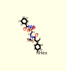 CCCCCCc1ccc(C(C)=C2SC(=S)N(CCS(=O)(=O)NC(=O)c3ccccc3)C2=O)cc1